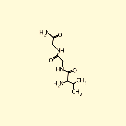 CC(C)C(N)C(=O)NCC(=O)NCC(N)=O